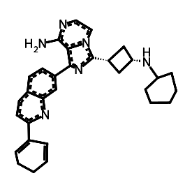 Nc1nccn2c1c(-c1ccc3ccc(C4=CCCC=C4)nc3c1)nc2[C@H]1C[C@@H](NC2CCCCC2)C1